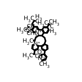 C=C1CC2C(CCc3ccc4c(oc5nc(C)ccc54)c3-c3cc(C(C)C)cc[n+]31)c1ccc(C(C)(C)C)cc1-c1cc(CC(C)C)c([Si](C)(C)C)c[n+]12